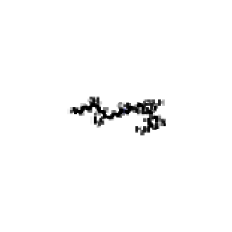 C/C(=C\CSCC(NC(=O)N(CC#N)CC(N)=O)C(=O)O)CCCC(C)CCCC(C)CCCC(C)C